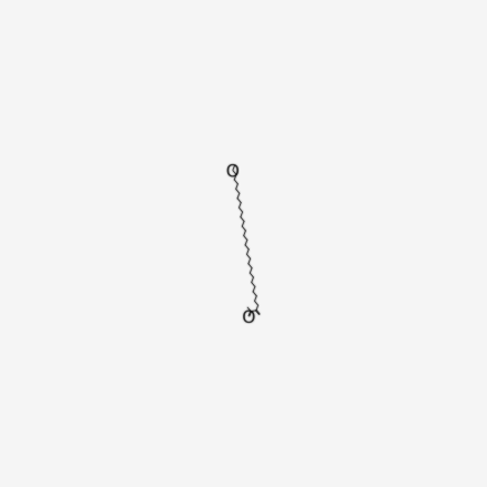 C=C(CCCCCCCCCCCCCCCCCCCCCCCCCCCCCOC)C(C)=O